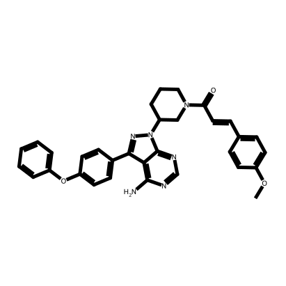 COc1ccc(C=CC(=O)N2CCCC(n3nc(-c4ccc(Oc5ccccc5)cc4)c4c(N)ncnc43)C2)cc1